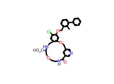 Cc1c(COc2cc3c(cc2Cl)CN[C@H](C(=O)O)COCCNC(=O)c2cncc(c2)CO3)cccc1-c1ccccc1